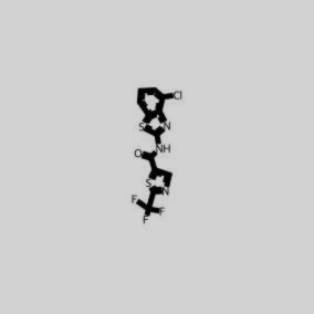 O=C(Nc1nc2c(Cl)cccc2s1)c1cnc(C(F)(F)F)s1